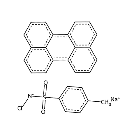 Cc1ccc(S(=O)(=O)[N-]Cl)cc1.[Na+].c1cc2cccc3c4cccc5cccc(c(c1)c23)c54